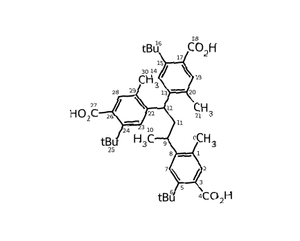 Cc1cc(C(=O)O)c(C(C)(C)C)cc1C(C)CC(c1cc(C(C)(C)C)c(C(=O)O)cc1C)c1cc(C(C)(C)C)c(C(=O)O)cc1C